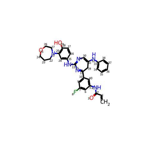 C=CC(=O)Nc1cc(F)cc(C2=NC(Nc3ccc(O)c(N4CCCOCC4)c3)=NC=C(Nc3ccccc3)C2)c1